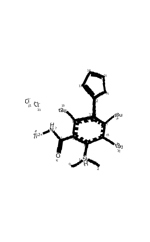 C[SiH](C)c1c(C(=O)[NH][Ti+2])c(C(C)(C)C)c(C2=CC=CC2)c(C(C)(C)C)c1C(C)(C)C.[Cl-].[Cl-]